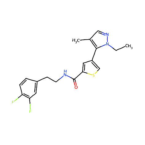 CCn1ncc(C)c1-c1csc(C(=O)NCCc2ccc(F)c(F)c2)c1